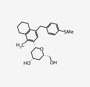 CSc1ccc(Cc2cc([C@H]3C[C@@H](O)C[C@@H](CO)O3)c(C)c3c2CCCC3)cc1